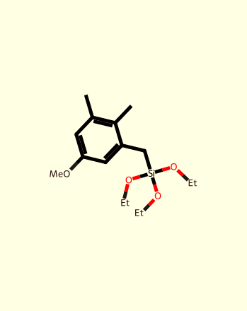 CCO[Si](Cc1cc(OC)cc(C)c1C)(OCC)OCC